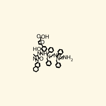 CC1=NN(c2ccc3c(c2)CCCC3)C(=O)C1=NNc1cccc(-c2ccc(C(=O)O)o2)c1O.NCCN(Cc1ccccc1)Cc1ccccc1.NCCN(Cc1ccccc1)Cc1ccccc1